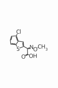 CON=C(C(=O)O)c1cc2c(Cl)cccc2s1